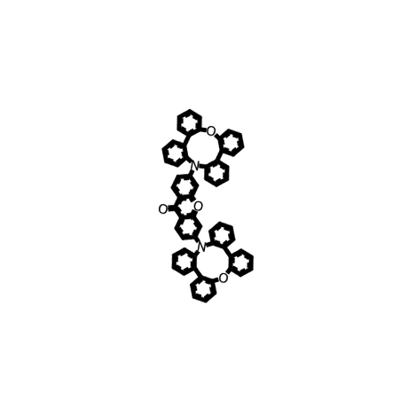 O=c1c2ccc(N3c4ccccc4-c4ccccc4Oc4ccccc4-c4ccccc43)cc2oc2cc(N3c4ccccc4-c4ccccc4Oc4ccccc4-c4ccccc43)ccc12